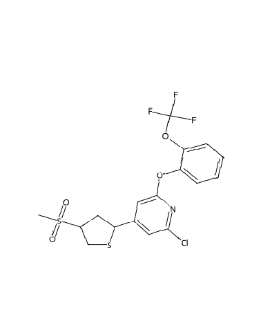 CS(=O)(=O)C1CSC(c2cc(Cl)nc(Oc3ccccc3OC(F)(F)F)c2)C1